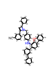 N#Cc1cccc(C2=CC(c3ccccc3)N2Cc2ccc(Nc3c(-c4cccc(-c5ccccc5)c4)ccc4c3oc3ccccc34)cc2)c1